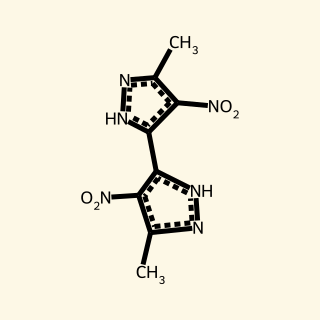 Cc1n[nH]c(-c2[nH]nc(C)c2[N+](=O)[O-])c1[N+](=O)[O-]